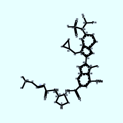 COc1cc(C(=O)N[C@@H]2CNC[C@H]2NC(=O)/C=C/CN(C)C)cc2nc(-c3cc4ccc(N(C(F)F)S(C)(=O)=O)nc4n3CC3CC3)n(C)c12